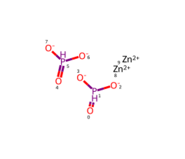 O=[PH]([O-])[O-].O=[PH]([O-])[O-].[Zn+2].[Zn+2]